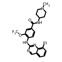 CCc1cccc2cnc(Nc3ccc(C(=O)NC4CCN(C)CC4)cc3OC(F)(F)F)nc12